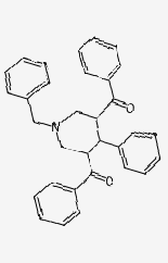 O=C(c1ccccc1)C1CN(Cc2ccccc2)CC(C(=O)c2ccccc2)C1c1ccccc1